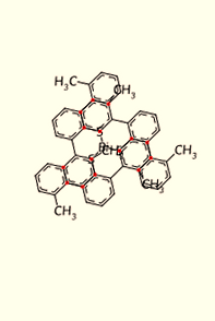 Cc1ccccc1-c1cccc(-c2ccccc2C)c1[S][Bi]([S]c1c(-c2ccccc2C)cccc1-c1ccccc1C)[S]c1c(-c2ccccc2C)cccc1-c1ccccc1C